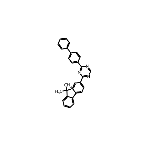 CC1(C)c2ccccc2-c2ccc(-c3ncnc(-c4ccc(-c5ccccc5)cc4)n3)cc21